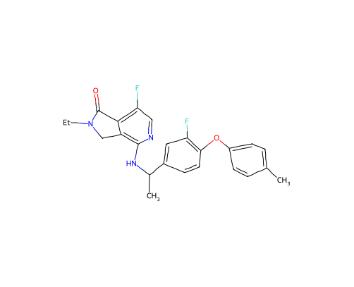 CCN1Cc2c(NC(C)c3ccc(Oc4ccc(C)cc4)c(F)c3)ncc(F)c2C1=O